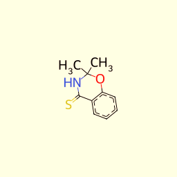 CC1(C)NC(=S)c2ccccc2O1